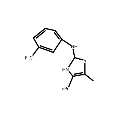 CCCC1=C(C)SC(Nc2cccc(C(F)(F)F)c2)N1